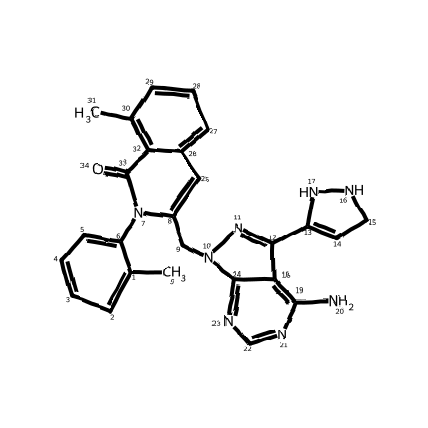 Cc1ccccc1-n1c(Cn2nc(C3=CCNN3)c3c(N)ncnc32)cc2cccc(C)c2c1=O